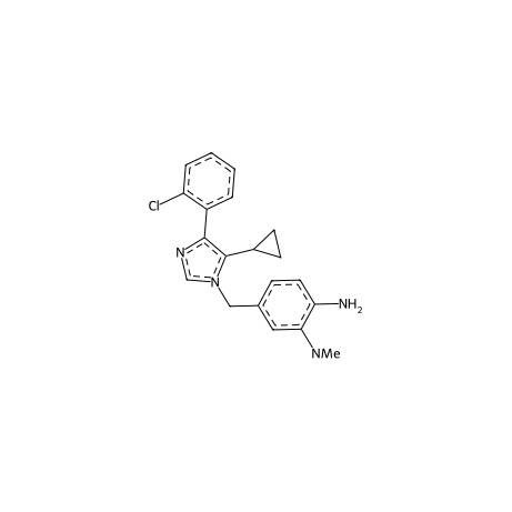 CNc1cc(Cn2cnc(-c3ccccc3Cl)c2C2CC2)ccc1N